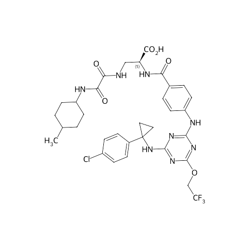 CC1CCC(NC(=O)C(=O)NC[C@H](NC(=O)c2ccc(Nc3nc(NC4(c5ccc(Cl)cc5)CC4)nc(OCC(F)(F)F)n3)cc2)C(=O)O)CC1